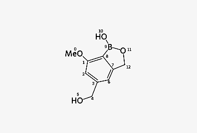 COc1cc(CO)cc2c1B(O)OC2